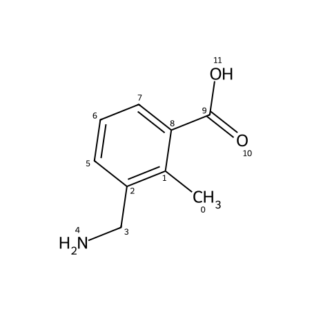 Cc1c(CN)cccc1C(=O)O